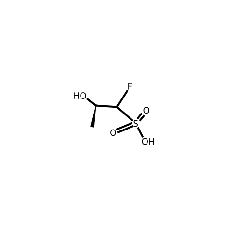 C[C@@H](O)C(F)S(=O)(=O)O